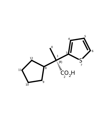 C[C@@](C(=O)O)(c1cccs1)C1CCCC1